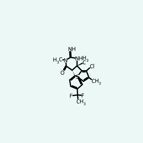 Cc1csc([C@@]2(C)NC(=N)N(C)C(=O)[C@H]2c2ccc(C(C)(F)F)cc2)c1Cl